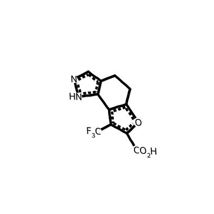 O=C(O)c1oc2c(c1C(F)(F)F)-c1[nH]ncc1CC2